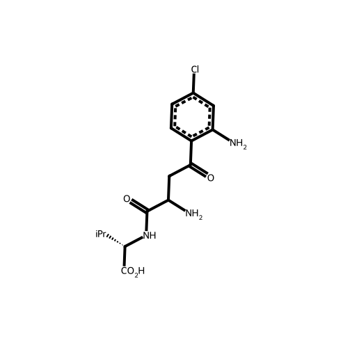 CC(C)[C@H](NC(=O)C(N)CC(=O)c1ccc(Cl)cc1N)C(=O)O